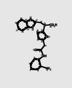 Nc1ccccc1NC(=O)Cc1csc(N(Cc2nc3ccccc3s2)C(=O)O)n1